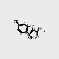 NC(=O)c1oc2cc(Cl)ccc2c1O